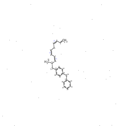 C=C/C=C\C/C=C\C=C/C(C)Sc1ccc(Sc2ccccc2)cc1